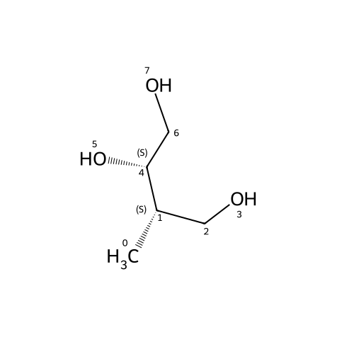 C[C@@H](CO)[C@H](O)CO